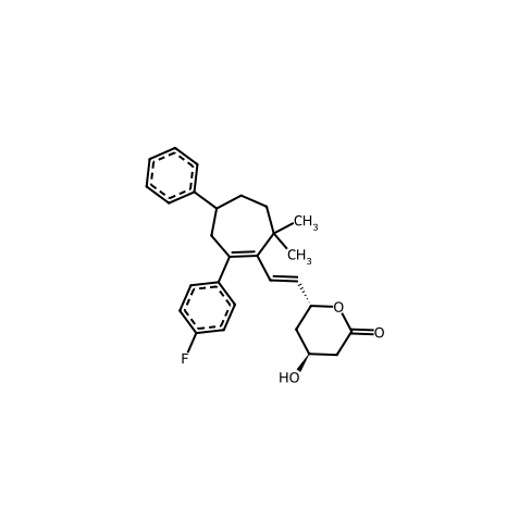 CC1(C)CCC(c2ccccc2)CC(c2ccc(F)cc2)=C1C=C[C@H]1C[C@H](O)CC(=O)O1